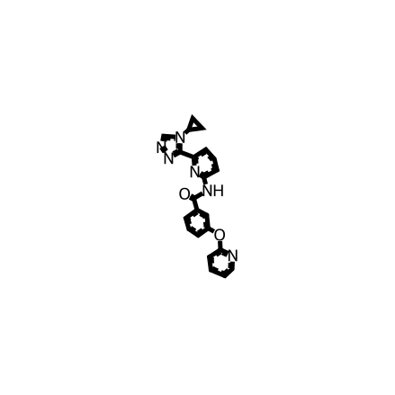 O=C(Nc1cccc(-c2nncn2C2CC2)n1)c1cccc(Oc2ccccn2)c1